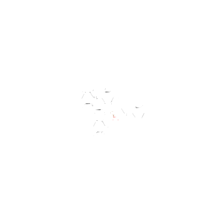 [O-][S+](C(/C=C/c1ccccc1)c1ccccc1)C(/C=C/c1ccccc1)c1ccccc1